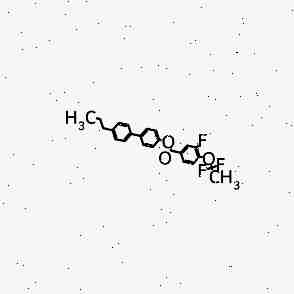 CCCc1ccc(-c2ccc(OC(=O)c3ccc(OC(C)(F)F)c(F)c3)cc2)cc1